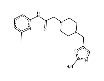 Cc1cccc(NC(=O)CN2CCN(Cc3cnc(N)s3)CC2)n1